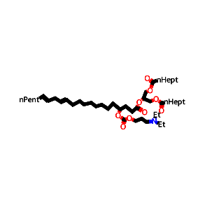 CCCCCC=CCC=CCCCCCCCCC(CCC(=O)OC(COC(=O)CCCCCCC)COC(=O)CCCCCCC)OC(=O)OCCCN(CC)CC